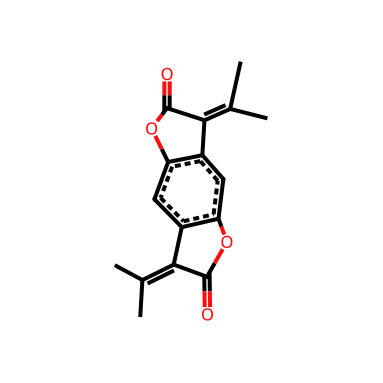 CC(C)=C1C(=O)Oc2cc3c(cc21)OC(=O)C3=C(C)C